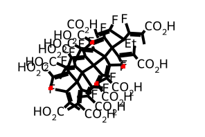 [CH2]CC(C(F)=C(C)C(=O)O)(C(F)=C(C)C(=O)O)C(C(F)=C(C)C(=O)O)(C(F)=C(C)C(=O)O)C(C(F)=C(C)C(=O)O)(C(F)=C(C)C(=O)O)C(C(F)=C(C)C(=O)O)(C(F)=C(C)C(=O)O)C(C(F)=C(C)C(=O)O)(C(F)=C(C)C(=O)O)C(C(F)=C(C)C(=O)O)(C(F)=C(C)C(=O)O)C(F)=C(C)C(=O)O